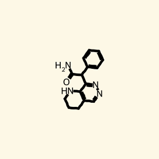 NC(=O)C(c1ccccc1)c1nncc2c1NCCC2